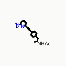 CC(=O)NC(C)Cc1ccc(C#Cc2cccc(N(C)C)n2)cc1